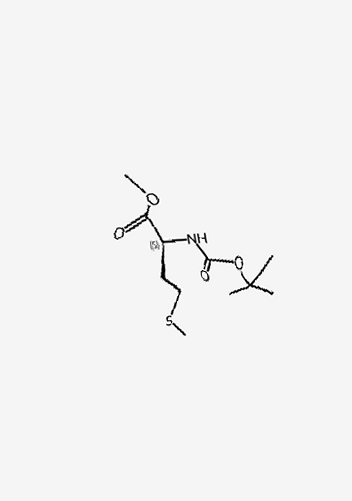 COC(=O)[C@H](CCSC)NC(=O)OC(C)(C)C